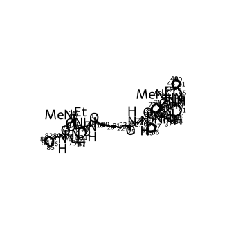 CC[C@H](NC)C(=O)N[C@@H]1C(=O)N2[C@@H](CC[C@@H]1CNC(=O)C#CC#CCCC(=O)NCCNC(=O)C(NC(=O)[C@@H]1CC[C@@H]3CC[C@H](CNCc4ccccc4)[C@H](NC(=O)[C@H](CC)NC)C(=O)N31)(c1ccccc1)c1ccccc1)CC[C@H]2C(=O)NCc1ccccc1